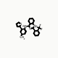 C=C1C=C=C(Nc2nc(-c3ccccc3C(F)(F)F)nc3ccccc23)C(c2cccs2)=C1